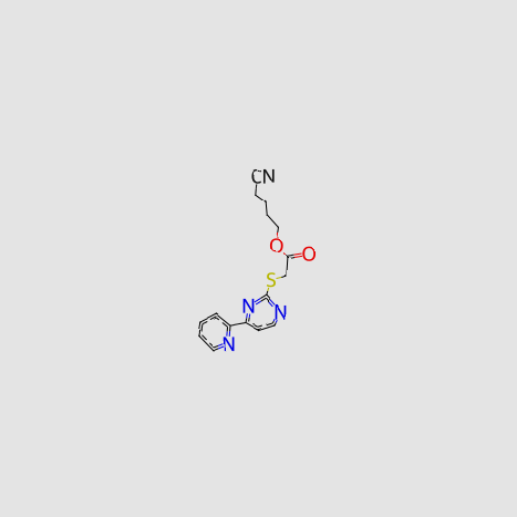 N#CCCCCOC(=O)CSc1nccc(-c2ccccn2)n1